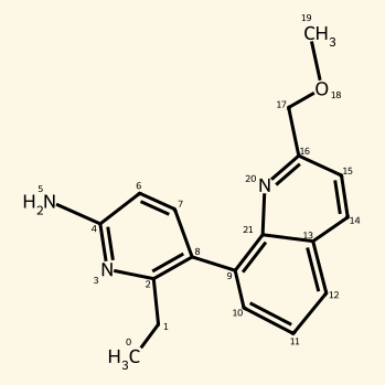 CCc1nc(N)ccc1-c1cccc2ccc(COC)nc12